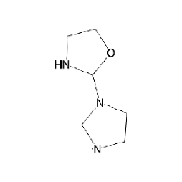 C1CN(C2NCCO2)C[N]1